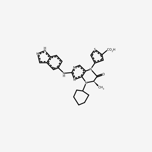 C[C@@H]1C(=O)N(c2csc(C(=O)O)c2)c2cnc(Nc3ccc4[nH]ncc4c3)nc2N1C1CCCCC1